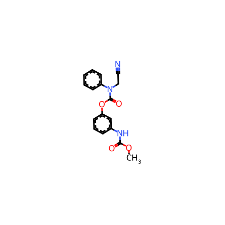 COC(=O)Nc1cccc(OC(=O)N(CC#N)c2ccccc2)c1